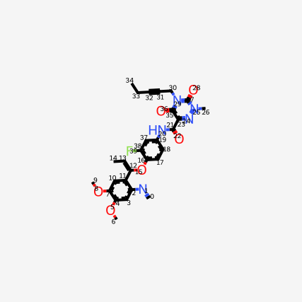 C=Nc1cc(OC)c(OC)cc1/C(=C\C)Oc1ccc(NC(=O)c2nn(C)c(=O)n(CC#CCC)c2=O)cc1F